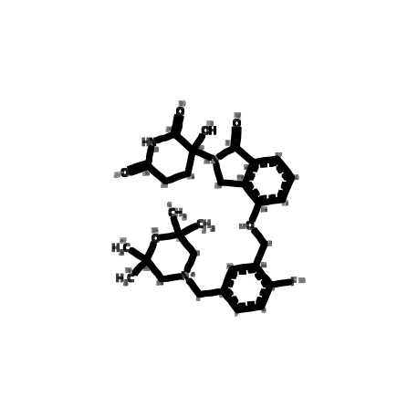 CC1(C)CN(Cc2ccc(F)c(COc3cccc4c3CN(C3(O)CCC(=O)NC3=O)C4=O)c2)CC(C)(C)O1